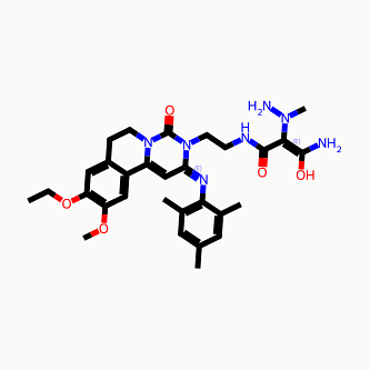 CCOc1cc2c(cc1OC)-c1c/c(=N\c3c(C)cc(C)cc3C)n(CCNC(=O)/C(=C(/N)O)N(C)N)c(=O)n1CC2